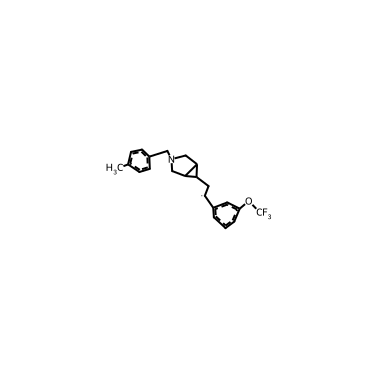 Cc1ccc(CN2CC3C(C[CH]c4cccc(OC(F)(F)F)c4)C3C2)cc1